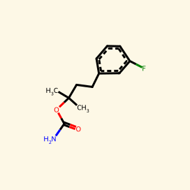 CC(C)(CCc1cccc(F)c1)OC(N)=O